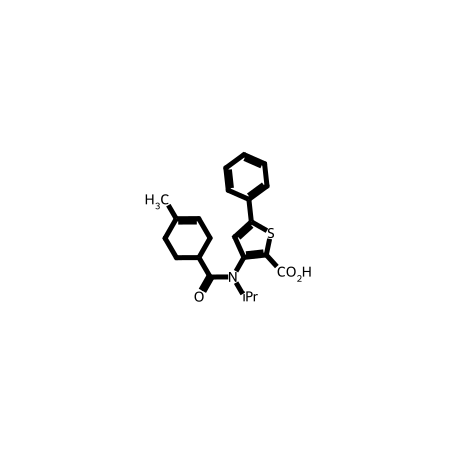 CC1=CCC(C(=O)N(c2cc(-c3ccccc3)sc2C(=O)O)C(C)C)CC1